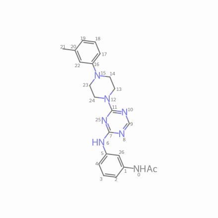 CC(=O)Nc1cccc(Nc2ncnc(N3CCN(c4cccc(C)c4)CC3)n2)c1